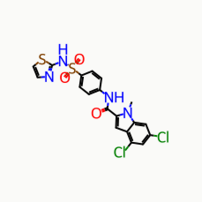 Cn1c(C(=O)Nc2ccc(S(=O)(=O)Nc3nccs3)cc2)cc2c(Cl)cc(Cl)cc21